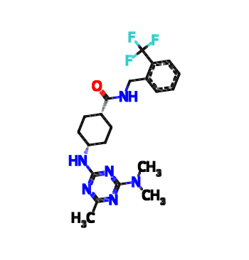 Cc1nc(N[C@H]2CC[C@@H](C(=O)NCc3ccccc3C(F)(F)F)CC2)nc(N(C)C)n1